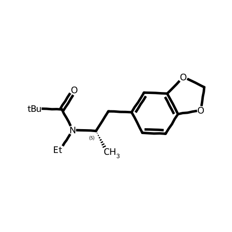 CCN(C(=O)C(C)(C)C)[C@@H](C)Cc1ccc2c(c1)OCO2